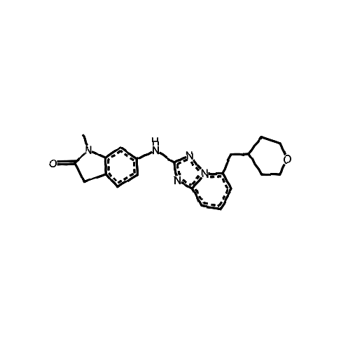 CN1C(=O)Cc2ccc(Nc3nc4cccc(CC5CCOCC5)n4n3)cc21